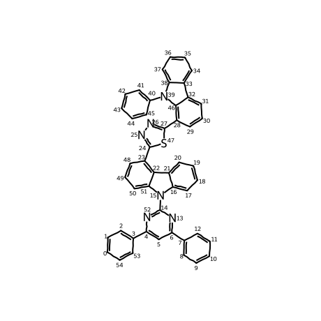 c1ccc(-c2cc(-c3ccccc3)nc(-n3c4ccccc4c4c(-c5nnc(-c6cccc7c8ccccc8n(-c8ccccc8)c67)s5)cccc43)n2)cc1